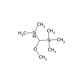 COC([SiH](C)C)[Si](C)(C)C